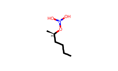 CCCC[C@@H](C)ON(O)O